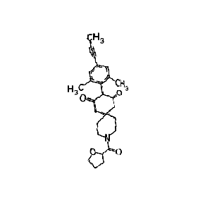 CC#Cc1cc(C)c(C2C(=O)CC3(CCN(C(=O)C4CCCO4)CC3)CC2=O)c(C)c1